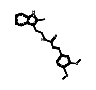 COc1ccc(C=CC(=O)NCCc2c(C)[nH]c3ccccc23)cc1OC